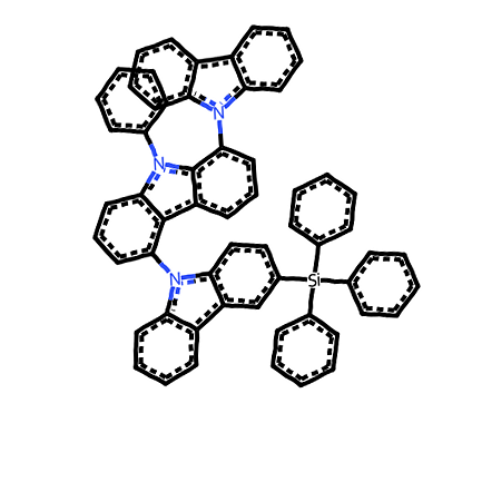 c1ccc(-n2c3cccc(-n4c5ccccc5c5cc([Si](c6ccccc6)(c6ccccc6)c6ccccc6)ccc54)c3c3cccc(-n4c5ccccc5c5ccccc54)c32)cc1